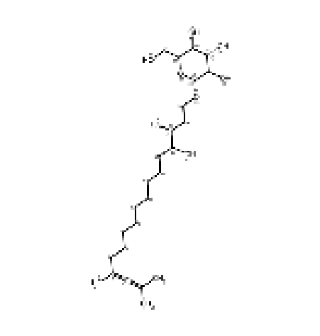 CC(C)=C=C(C)CCCCCCCCCC(O)[C@@H](O)CCO[C@@H]1OC(CO)[C@@H](O)[C@H](O)C1O